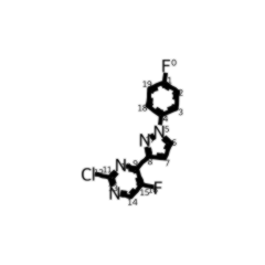 Fc1ccc(-n2ccc(-c3nc(Cl)ncc3F)n2)cc1